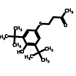 CC(=O)CCSc1cc(C(C)(C)C)c(O)c(C(C)(C)C)c1